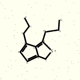 CCCC1=CC=C2[CH]SC(CCC)=C21